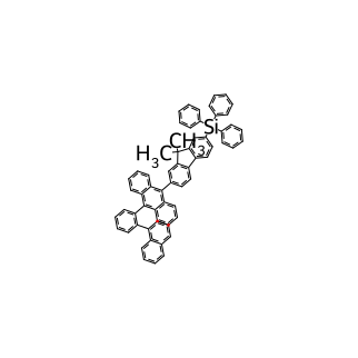 CC1(C)c2cc(-c3c4ccccc4c(-c4ccccc4-c4cccc5ccccc45)c4ccccc34)ccc2-c2ccc([Si](c3ccccc3)(c3ccccc3)c3ccccc3)cc21